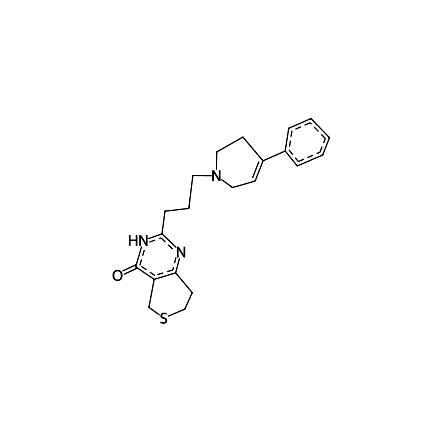 O=c1[nH]c(CCCN2CC=C(c3ccccc3)CC2)nc2c1CSCC2